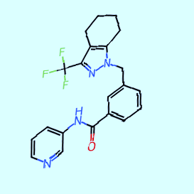 O=C(Nc1cccnc1)c1cccc(Cn2nc(C(F)(F)F)c3c2CCCC3)c1